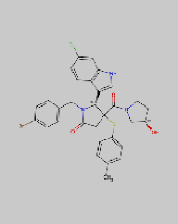 Cc1ccc(SC2(C(=O)N3CC[C@@H](O)C3)CC(=O)N(Cc3ccc(Br)cc3)[C@H]2c2c[nH]c3cc(Cl)ccc23)cc1